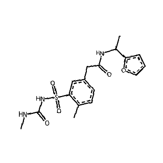 CNC(=O)NS(=O)(=O)c1cc(CC(=O)NC(C)c2ccco2)ccc1C